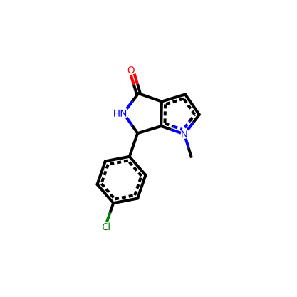 Cn1ccc2c1C(c1ccc(Cl)cc1)NC2=O